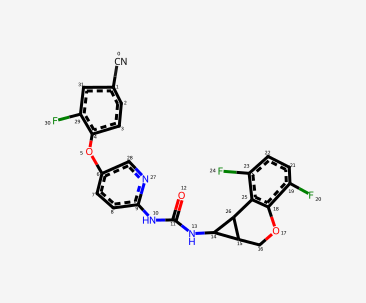 N#Cc1ccc(Oc2ccc(NC(=O)NC3C4COc5c(F)ccc(F)c5C43)nc2)c(F)c1